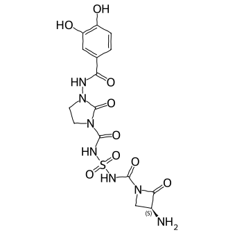 N[C@H]1CN(C(=O)NS(=O)(=O)NC(=O)N2CCN(NC(=O)c3ccc(O)c(O)c3)C2=O)C1=O